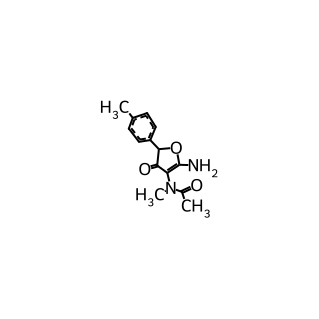 CC(=O)N(C)C1=C(N)OC(c2ccc(C)cc2)C1=O